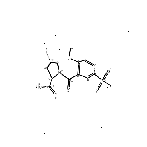 COc1ccc(S(C)(=O)=O)cc1C(=O)N1C[C@@H](F)CC1C(=O)O